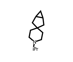 CC(C)N1CCC2(CC1)CC1CC1C2